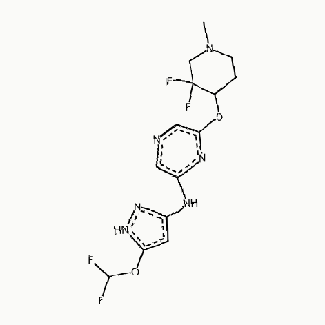 CN1CCC(Oc2cncc(Nc3cc(OC(F)F)[nH]n3)n2)C(F)(F)C1